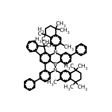 Cc1cc2c(cc1N1B3c4ccc(-c5ccccc5)cc4N(c4cc5c(cc4C)C(C)(C)CCC5(C)C)c4c3c(cc3c4C(C)(C)c4ccccc4-3)-c3cc(-c4ccccc4)ccc31)C(C)(C)CCC2(C)C